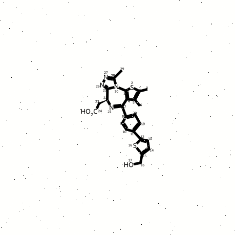 Cc1sc2c(c1C)C(c1ccc(-c3ccc(CO)s3)cc1)=N[C@@H](CC(=O)O)c1nnc(C)n1-2